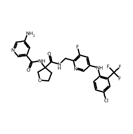 Nc1cncc(C(=O)NC2(C(=O)NCc3ncc(Nc4ccc(Cl)cc4C(F)(F)F)cc3F)CCOC2)c1